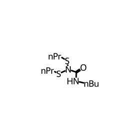 CCCCNC(=O)N(SCCC)SCCC